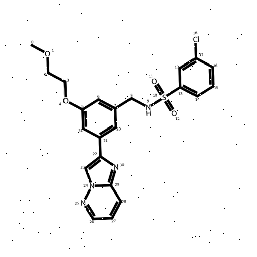 COCCOc1cc(CNS(=O)(=O)c2cccc(Cl)c2)cc(-c2cn3ncccc3n2)c1